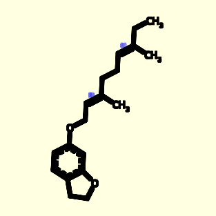 CC/C(C)=C/CC/C(C)=C/COc1ccc2c(c1)OCC2